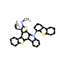 C=Nc1sc2c(c1/C=C\C)c1c3ccccc3sc1c1c3ccccc3n(-c3cccc4c3sc3ccccc34)c21